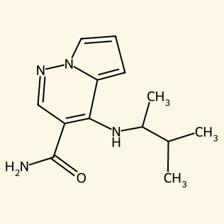 CC(C)C(C)Nc1c(C(N)=O)cnn2cccc12